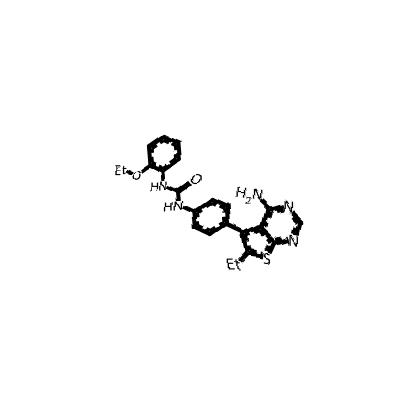 CCOc1ccccc1NC(=O)Nc1ccc(-c2c(CC)sc3ncnc(N)c23)cc1